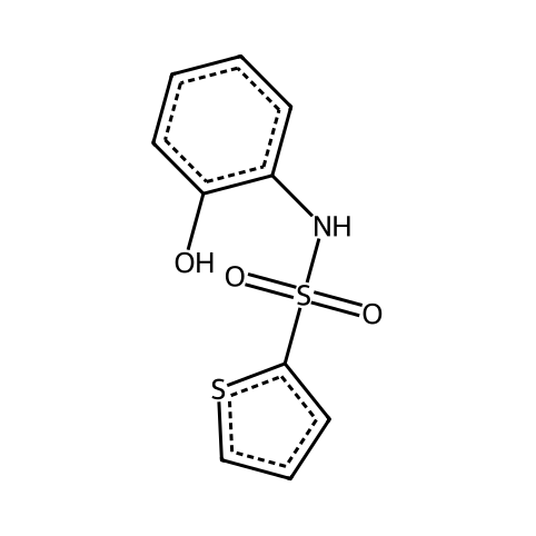 O=S(=O)(Nc1ccccc1O)c1cccs1